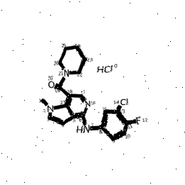 Cl.Cn1ccc2c(Nc3ccc(F)c(Cl)c3)ncc(C(=O)N3CCCCC3)c21